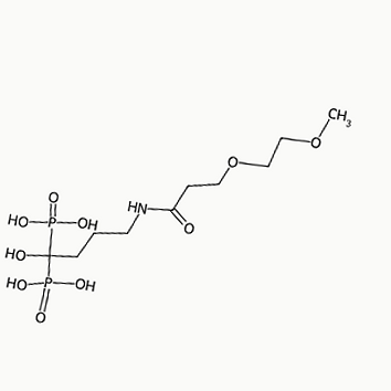 COCCOCCC(=O)NCCCC(O)(P(=O)(O)O)P(=O)(O)O